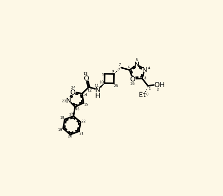 CC[C@@H](O)c1nnc(C[C@H]2C[C@H](NC(=O)c3cc(-c4ccccc4)no3)C2)o1